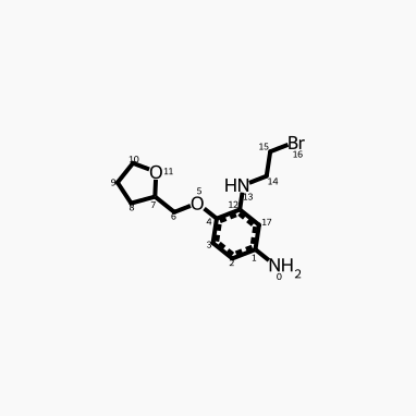 Nc1ccc(OCC2CCCO2)c(NCCBr)c1